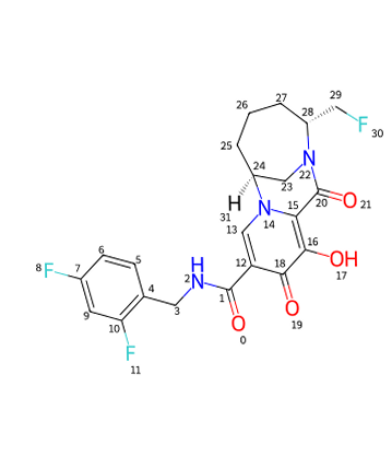 O=C(NCc1ccc(F)cc1F)c1cn2c(c(O)c1=O)C(=O)N1C[C@@H]2CCC[C@@H]1CF